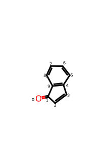 O=C1C=Cc2ccc[c]c21